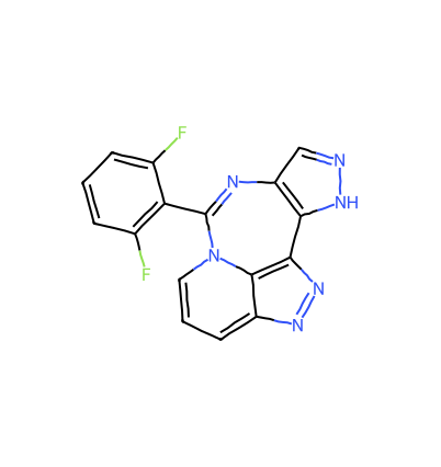 Fc1cccc(F)c1C1=Nc2cn[nH]c2-c2nnc3cccn1c2-3